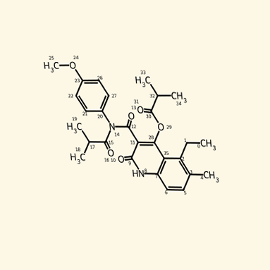 CCc1c(C)ccc2[nH]c(=O)c(C(=O)N(C(=O)C(C)C)c3ccc(OC)cc3)c(OC(=O)C(C)C)c12